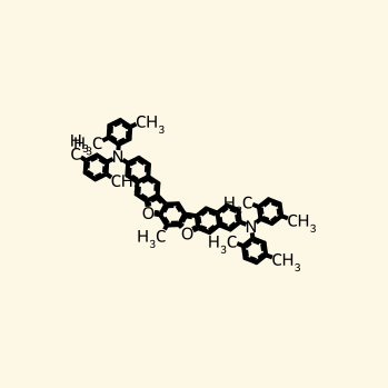 Cc1ccc(C)c(N(c2ccc3cc4c(cc3c2)oc2c(C)c3oc5cc6cc(N(c7cc(C)ccc7C)c7cc(C)ccc7C)ccc6cc5c3cc24)c2cc(C)ccc2C)c1